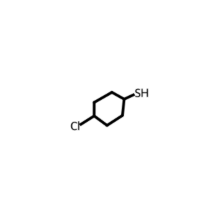 SC1CCC(Cl)CC1